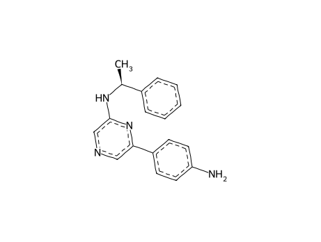 C[C@H](Nc1cncc(-c2ccc(N)cc2)n1)c1ccccc1